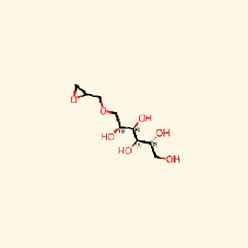 OC[C@@H](O)[C@@H](O)[C@H](O)[C@@H](O)COCC1CO1